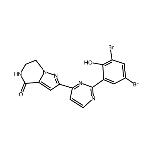 O=C1NCCn2nc(-c3ccnc(-c4cc(Br)cc(Br)c4O)n3)cc21